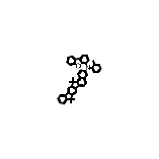 Cc1ccccc1N(c1ccc2c3c(ccc2c1)-c1cc2c(cc1C3(C)C)-c1ccccc1C2(C)C)c1cccc2c1oc1ccccc12